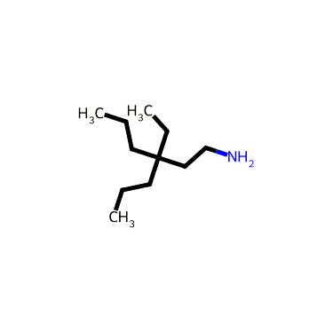 CCCC(CC)(CCC)CCN